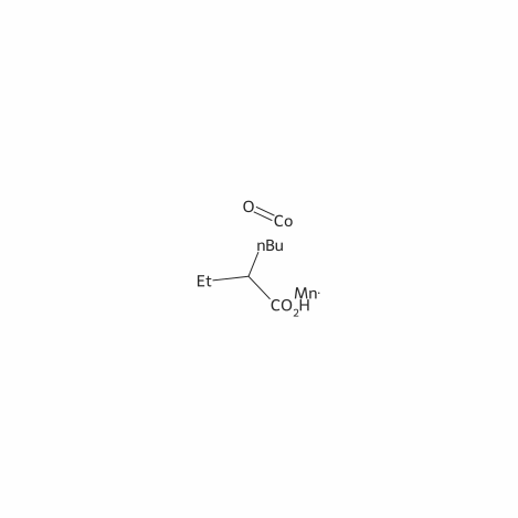 CCCCC(CC)C(=O)O.[Mn].[O]=[Co]